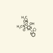 CCCCOc1c(O)nc(CC2(c3ccccn3)CCCC2)nc1C(=O)N(C)CCO